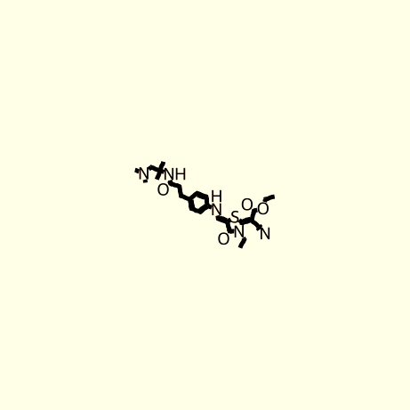 CCOC(=O)C(C#N)=c1sc(=CNc2ccc(CCC(=O)NC(C)(C)CN(C)C)cc2)c(=O)n1CC